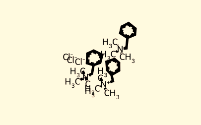 C[N+](C)(C)Cc1ccccc1.C[N+](C)(C)Cc1ccccc1.C[N+](C)(C)Cc1ccccc1.[Cl-].[Cl-].[Cl-]